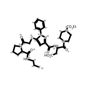 CCOC(=O)N1CCN(C(=O)C(CC(=O)O)NC(=O)c2cc(OCC(=O)N3CCCC3C(=O)NCCF)n(-c3ccccc3)n2)CC1